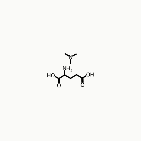 CN(C)C.NC(CCC(=O)O)C(=O)O